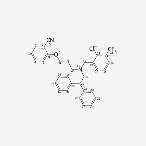 N#Cc1ccccc1OCCCN(Cc1cccc(C(F)(F)F)c1Cl)CC(c1ccccc1)c1ccccc1